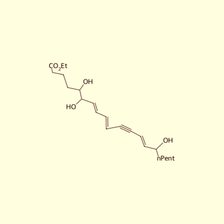 CCCCCC(O)/C=C/C#C/C=C/C=C/C(O)C(O)CCCC(=O)OCC